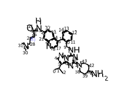 CC(C)c1cnn2c(NCc3ccccc3-c3ccnc4cc(NC(=O)/C=C/CN(C)C)ccc34)nc(N3CCC(N)CC3)nc12